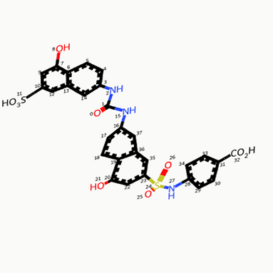 O=C(Nc1ccc2c(O)cc(S(=O)(=O)O)cc2c1)Nc1ccc2c(O)cc(S(=O)(=O)Nc3ccc(C(=O)O)cc3)cc2c1